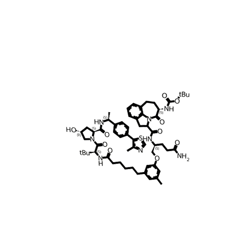 Cc1cc(CCCCCC(=O)N[C@H](C(=O)N2C[C@H](O)C[C@H]2C(=O)N[C@@H](C)c2ccc(-c3scnc3C)cc2)C(C)(C)C)cc(OC[C@H](CCC(N)=O)NC(=O)C2Cc3cccc4c3N2C(=O)[C@@H](NC(=O)OC(C)(C)C)CC4)c1